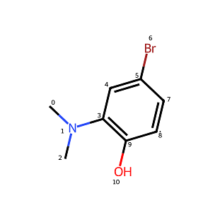 CN(C)c1cc(Br)c[c]c1O